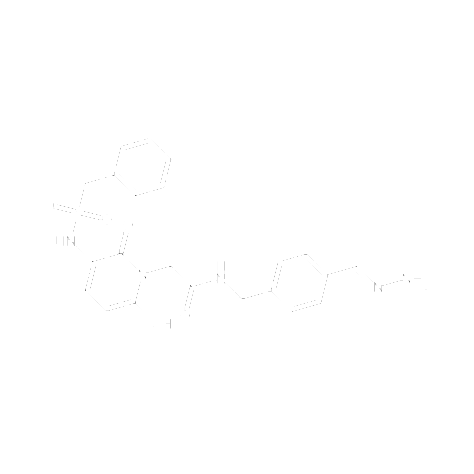 Cc1ccc(NS(=O)(=O)Cc2ccccc2)c(=O)n1CC(=O)NCc1ccc(C=NN)cc1